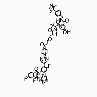 Cc1ncsc1-c1ccc(CNC(=O)[C@@H]2C[C@@H](O)CN2C(=O)C(NC(=O)CCOCCC(=O)N2CCN(c3ncc(-c4cc(NC(=O)c5ccc(F)cc5C(F)(F)F)c(N5C[C@@H](C)N(C)[C@@H](C)C5)cc4F)cn3)CC2)C(C)(C)C)cc1